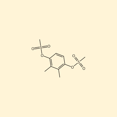 Cc1c(OS(C)(=O)=O)ccc(OS(C)(=O)=O)c1C